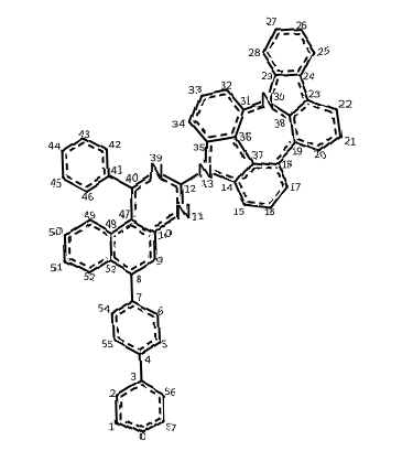 c1ccc(-c2ccc(-c3cc4nc(-n5c6cccc7c8cccc9c%10ccccc%10n(c%10cccc5c%10c76)c89)nc(-c5ccccc5)c4c4ccccc34)cc2)cc1